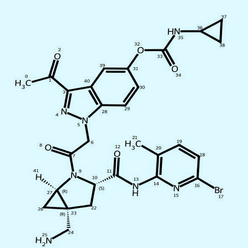 CC(=O)c1nn(CC(=O)N2[C@H](C(=O)Nc3nc(Br)ccc3C)C[C@@]3(CN)C[C@@H]23)c2ccc(OC(=O)NC3CC3)cc12